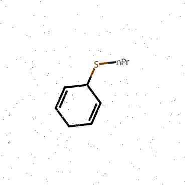 CCCSC1C=CCC=C1